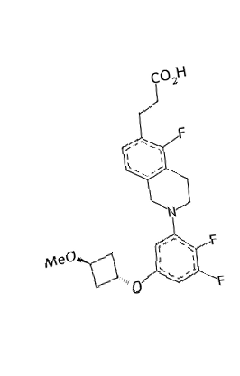 CO[C@H]1C[C@H](Oc2cc(F)c(F)c(N3CCc4c(ccc(CCC(=O)O)c4F)C3)c2)C1